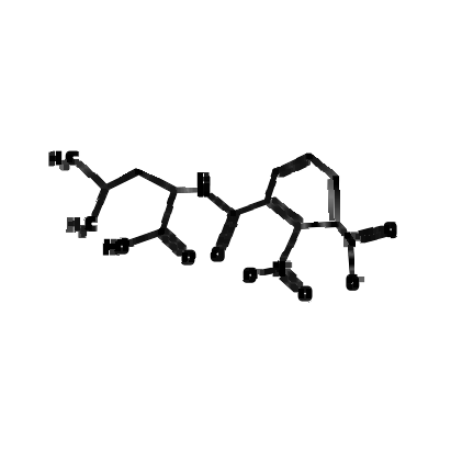 CC(C)CC(NC(=O)c1cccc([N+](=O)[O-])c1[N+](=O)[O-])C(=O)O